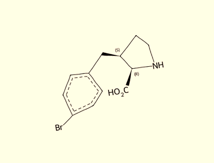 O=C(O)[C@@H]1NCC[C@@H]1Cc1ccc(Br)cc1